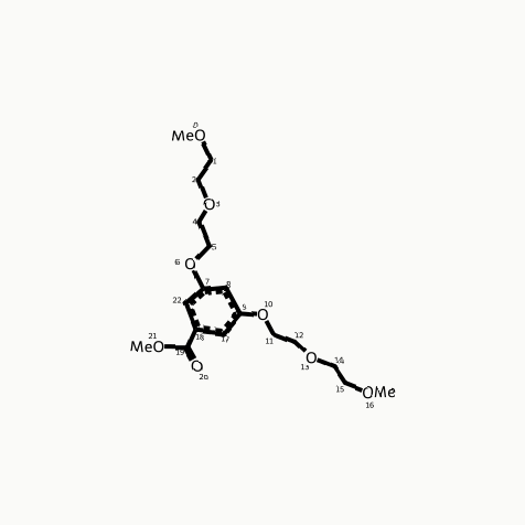 COCCOCCOc1cc(OCCOCCOC)cc(C(=O)OC)c1